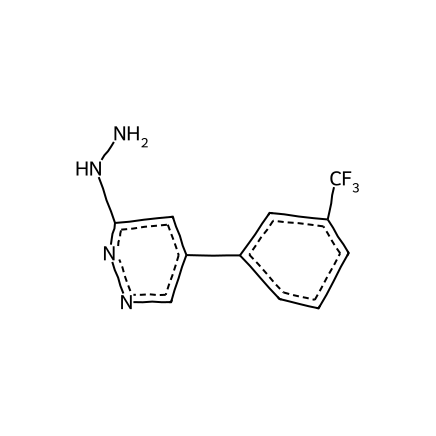 NNc1cc(-c2cccc(C(F)(F)F)c2)cnn1